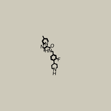 Cc1ccn2c(C(=O)NCc3ccc(C4CCNCC4)c(F)c3)c(C)nc2c1